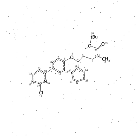 CN(CCC(Oc1ccc(-c2ccnc(Cl)n2)cc1)c1ccccc1)C(=O)OC(C)(C)C